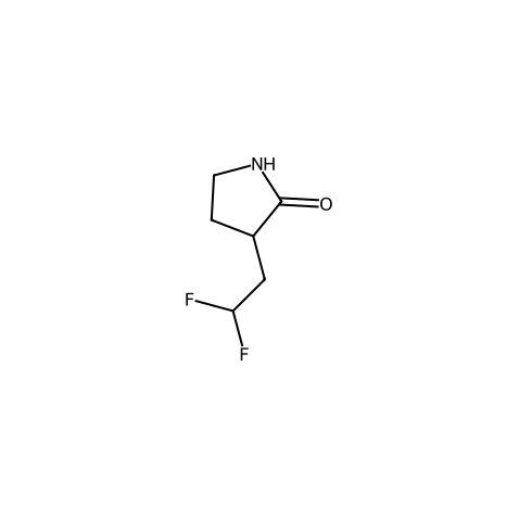 O=C1NCCC1CC(F)F